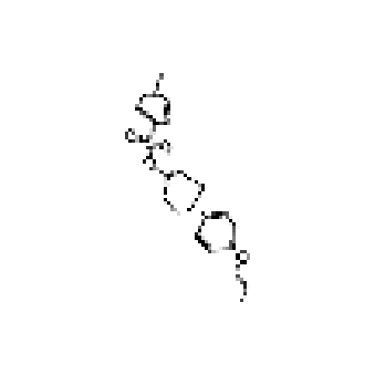 CCCOc1ccc([C@H]2CC[C@H](OS(=O)(=O)c3ccc(C)cc3)CC2)cc1